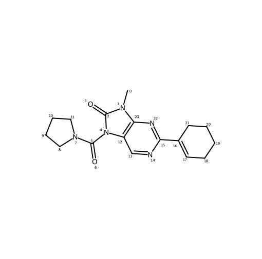 Cn1c(=O)n(C(=O)N2CCCC2)c2cnc(C3=CCCCC3)nc21